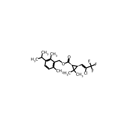 Cc1ccc(C(C)C)c(C)c1COC(=O)[C@H]1[C@@H](C=C(Cl)C(F)(F)F)C1(C)C